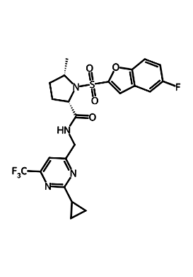 C[C@H]1CC[C@@H](C(=O)NCc2cc(C(F)(F)F)nc(C3CC3)n2)N1S(=O)(=O)c1cc2cc(F)ccc2o1